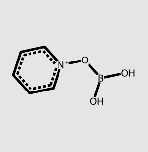 OB(O)O[n+]1ccccc1